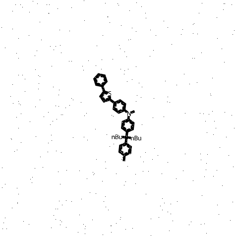 CCCCC(CCCC)(c1ccc(C)cc1)c1ccc(N(C)c2ccc(-c3ccc(-c4ccccc4)s3)cc2)cc1